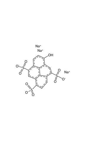 O=S(=O)([O-])c1cc2c(S(=O)(=O)[O-])ccc3c(S(=O)(=O)[O-])cc4c(O)ccc1c4c32.[Na+].[Na+].[Na+]